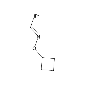 CC(C)/C=N/OC1CCC1